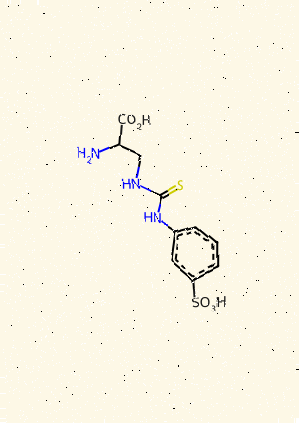 NC(CNC(=S)Nc1cccc(S(=O)(=O)O)c1)C(=O)O